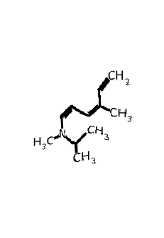 C=C/C(C)=C\C=C/N(C)C(C)C